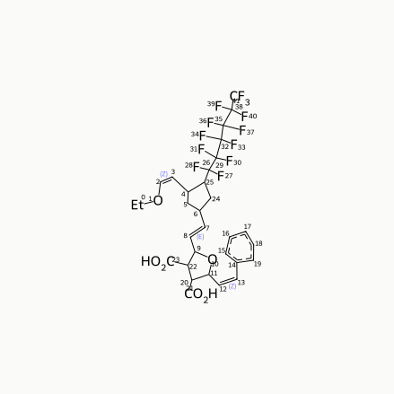 CCO/C=C\C1CC(/C=C/C2OC(/C=C\c3ccccc3)C(C(=O)O)C2C(=O)O)CC1C(F)(F)C(F)(F)C(F)(F)C(F)(F)C(F)(F)C(F)(F)F